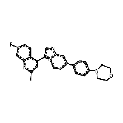 Cc1cc(-c2cnc3cc(-c4ccc(N5CCOCC5)cc4)ccn23)c2ccc(F)cc2n1